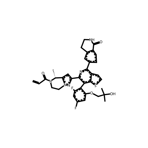 C=CC(=O)N1CCn2nc(-c3nc(-c4ccc5c(c4)CCNC5=O)c4ccsc4c3-c3c(F)cc(F)cc3OCC(C)(C)O)cc2[C@H]1C